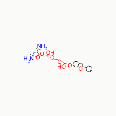 CC(C)(N)CC(C(=O)OCC(O)COCCOCC(O)COc1ccc2cc(-c3ccccc3)oc2c1)C(C)(C)N